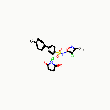 Cc1ccc(-c2ccc(S(=O)(=O)Nc3onc(C)c3Cl)cc2)cc1.O=C1CCC(=O)N1Cl